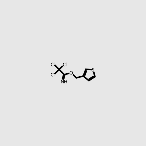 N=C(OCc1ccsc1)C(Cl)(Cl)Cl